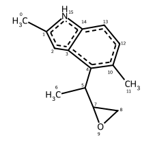 Cc1cc2c(C(C)C3CO3)c(C)ccc2[nH]1